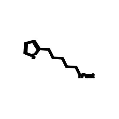 CCCCCCCCCCc1cccs1